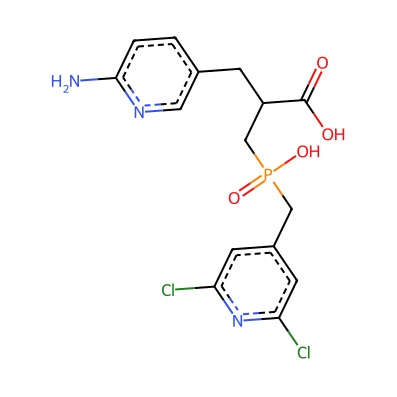 Nc1ccc(CC(CP(=O)(O)Cc2cc(Cl)nc(Cl)c2)C(=O)O)cn1